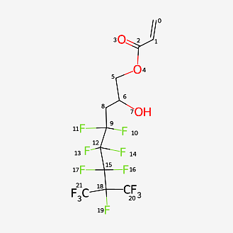 C=CC(=O)OCC(O)CC(F)(F)C(F)(F)C(F)(F)C(F)(C(F)(F)F)C(F)(F)F